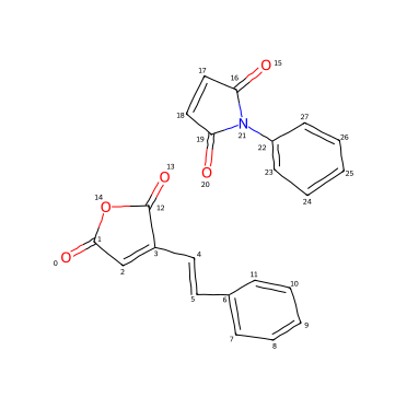 O=C1C=C(C=Cc2ccccc2)C(=O)O1.O=C1C=CC(=O)N1c1ccccc1